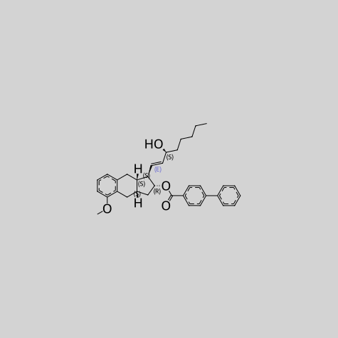 CCCCC[C@H](O)/C=C/[C@@H]1[C@H]2Cc3cccc(OC)c3C[C@H]2C[C@H]1OC(=O)c1ccc(-c2ccccc2)cc1